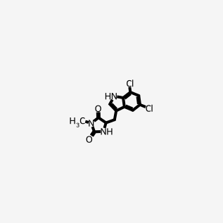 CN1C(=O)NC(Cc2c[nH]c3c(Cl)cc(Cl)cc23)C1=O